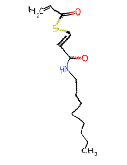 C=CC(=O)SC=CC(=O)NCCCCCCCC